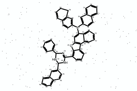 C1=Cc2ccc(N(c3ccc4ccccc4c3)c3cc4oc5c(C6=NC(c7ccccc7)NC(c7ccc8ccccc8c7)N6)cccc5c4c4ccccc34)cc2CC1